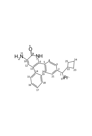 C[C](C)C(c1ccc(-c2[nH]c(=O)c(N)cc2-c2ccccc2)cc1)C1CCC1